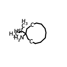 C[SiH](C)C1(N)CCCCCCCCCCC1